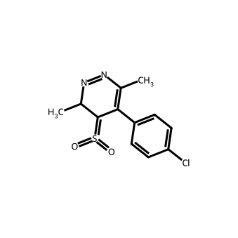 CC1=C(c2ccc(Cl)cc2)C(=S(=O)=O)C(C)N=N1